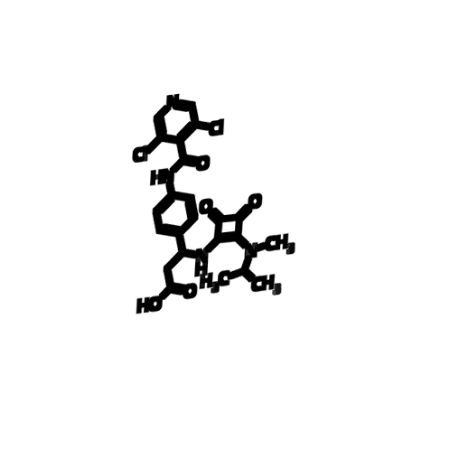 CC(C)N(C)c1c(NC(CC(=O)O)c2ccc(NC(=O)c3c(Cl)cncc3Cl)cc2)c(=O)c1=O